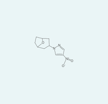 O=[N+]([O-])c1cnn(C2CC3CCC(C2)O3)c1